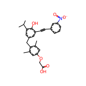 Cc1cc(OCC(=O)O)cc(C)c1Cc1cc(C#Cc2cccc([N+](=O)[O-])c2)c(O)c(C(C)C)c1